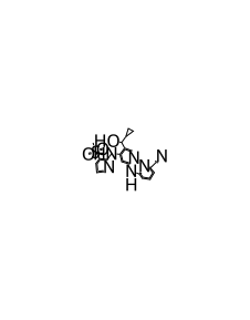 CS(=O)(=O)c1cccnc1Nc1cc(Nc2cccc(C#N)n2)ncc1C(O)C1CC1